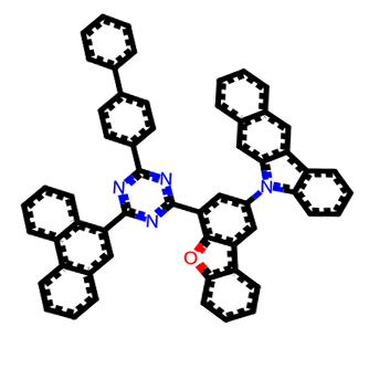 c1ccc(-c2ccc(-c3nc(-c4cc5ccccc5c5ccccc45)nc(-c4cc(-n5c6ccccc6c6cc7ccccc7cc65)cc5c4oc4ccccc45)n3)cc2)cc1